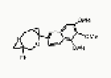 CCC12COC3(c4ccc5c(OC)c(OC)c(OC)cc5c4)CC3CN1C2